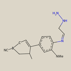 CNc1cc(C2=CCB(C#N)CC2C)ccc1/N=C\CNN